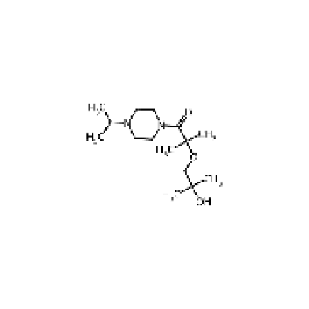 CC(C)N1CCN(C(=O)C(C)(C)OCC(C)(C)O)CC1